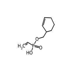 C=CP(=O)(O)OCC1C=CCCC1